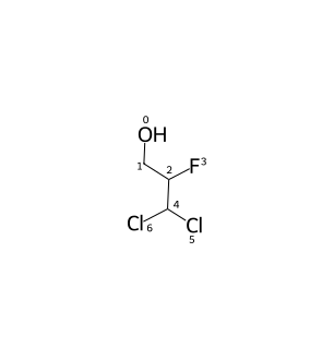 OCC(F)C(Cl)Cl